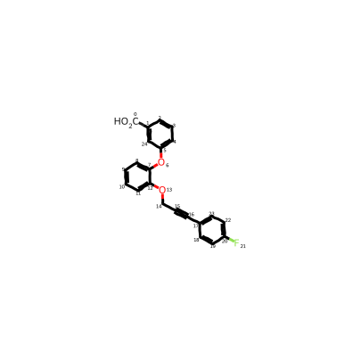 O=C(O)c1cccc(Oc2ccccc2OCC#Cc2ccc(F)cc2)c1